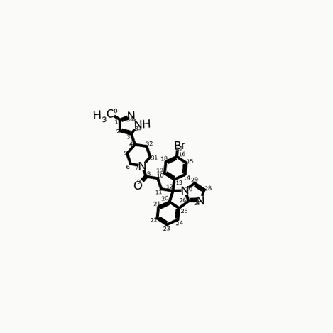 Cc1cc(C2CCN(C(=O)CCC3(c4ccc(Br)cc4)c4ccccc4-c4nccn43)CC2)[nH]n1